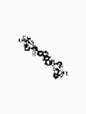 COC(=O)N[C@H](C(=O)N1CCCC1c1ncc(-c2ccc3c(c2)COc2cc4c(cc2-3)CCc2[nH]c([C@@H]3CCCN3C(=O)[C@H](NC(=O)OC)c3ccccc3)nc2-4)[nH]1)C(C)C